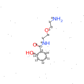 NCCOCCNC(=O)c1ccccc1O